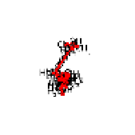 CC[C@H](C)[C@@H]([C@@H](CC(=O)N1CCC[C@H]1[C@H](OC)[C@@H](C)C(=O)N[C@H](C)[C@@H](O)c1ccccc1)OC)N(C)C(=O)[C@@H](NC(=O)[C@H](C(C)C)N(C)C(=O)OCc1ccc(NC(=O)[C@H](CCCNC(N)=O)NC(=O)[C@@H](NC(=O)CCOCCOCCOCCOCCC(=O)NCCNc2ncc(-c3cc(C)cc(F)c3)c(N3CCC(O)CC3)c2-c2nc3ccc(Cl)cc3[nH]2)C(C)C)cc1)C(C)C